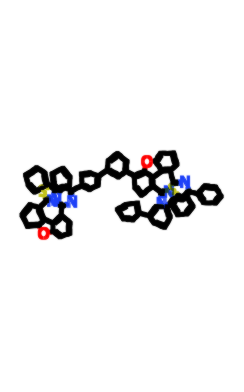 c1ccc(-c2cccc(-c3cc(-c4ccccc4)nc(-c4cccc5oc6c(-c7cccc(-c8ccc(-c9cc(-c%10ccccc%10)nc(-c%10cccc%11oc%12cccc(-c%13nc%14ccccc%14s%13)c%12c%10%11)n9)cc8)c7)ccc(-c7nc8ccccc8s7)c6c45)n3)c2)cc1